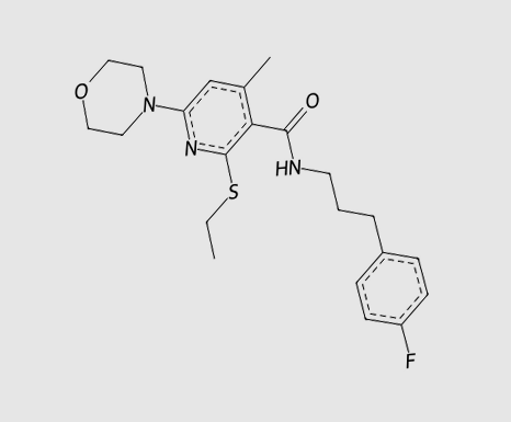 CCSc1nc(N2CCOCC2)cc(C)c1C(=O)NCCCc1ccc(F)cc1